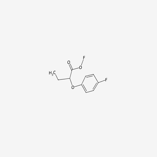 CCC(Oc1ccc(F)cc1)C(=O)OF